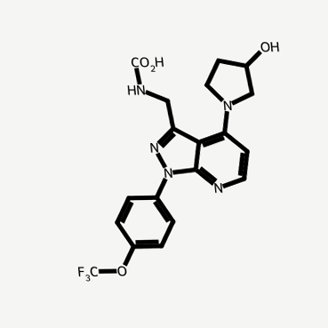 O=C(O)NCc1nn(-c2ccc(OC(F)(F)F)cc2)c2nccc(N3CCC(O)C3)c12